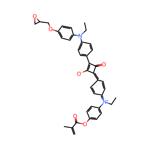 C=C(C)C(=O)Oc1ccc([N+](CC)=C2C=CC(=C3C(=O)C(c4ccc(N(CC)c5ccc(OCC6CO6)cc5)cc4)=C3[O-])C=C2)cc1